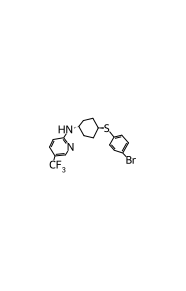 FC(F)(F)c1ccc(N[C@H]2CC[C@H](Sc3ccc(Br)cc3)CC2)nc1